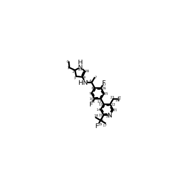 CCC1CC(NC(C)c2cc(F)c(-c3cc(C(C)(C)F)ncc3CF)cc2F)=CN1